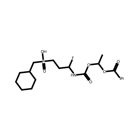 CC(OC(=O)NC(F)CCP(=O)(O)CC1CCCCC1)OC(=O)C(C)C